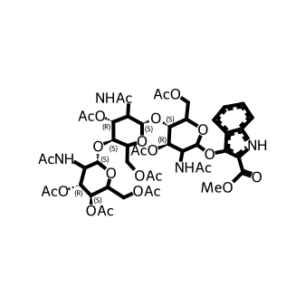 COC(=O)c1[nH]c2ccccc2c1OC1OC(COC(C)=O)[C@@H](O[C@@H]2OC(COC(C)=O)[C@@H](O[C@@H]3OC(COC(C)=O)[C@@H](OC(C)=O)[C@H](OC(C)=O)C3NC(C)=O)[C@H](OC(C)=O)C2NC(C)=O)[C@H](OC(C)=O)C1NC(C)=O